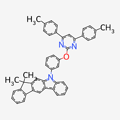 Cc1ccc(-c2cc(-c3ccc(C)cc3)nc(Oc3cccc(-n4c5ccccc5c5cc6c(cc54)C(C)(C)c4ccccc4-6)c3)n2)cc1